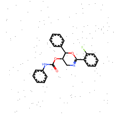 O=C(Nc1ccccc1)OC1CN=C(c2ccccc2F)OC1c1ccccc1